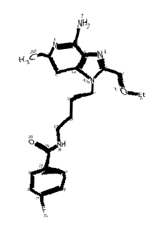 CCOCc1nc2c(N)nc(C)cc2n1CCCCNC(=O)c1ccc(F)cc1